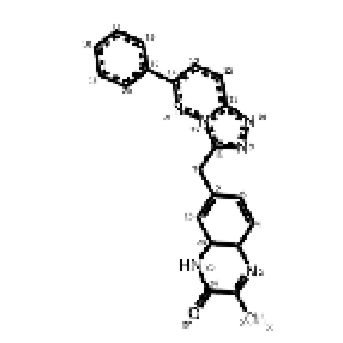 CC1=NC2C=CC(Cc3nnc4ccc(-c5ccccc5)nn34)=CC2NC1=O